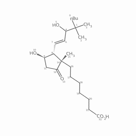 CCCCC(C)(C)C(O)C=C[C@H]1[C@H](O)CC(=O)[C@@]1(C)CCCCCCC(=O)O